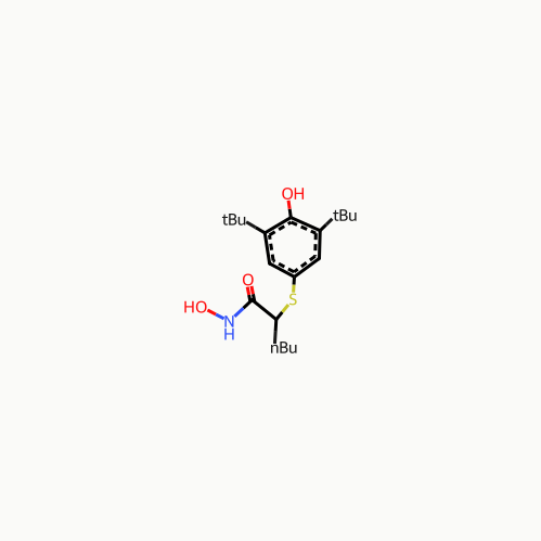 CCCCC(Sc1cc(C(C)(C)C)c(O)c(C(C)(C)C)c1)C(=O)NO